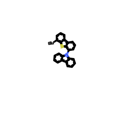 CC(C)(C)c1cccc2c1sc1c(-n3c4ccccc4c4ccccc43)cccc12